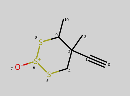 C#CC1(C)CS[S+]([O-])SC1C